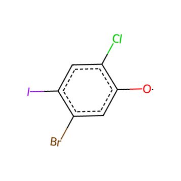 [O]c1cc(Br)c(I)cc1Cl